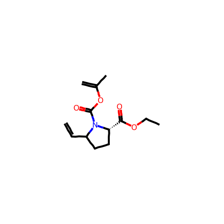 C=CC1CC[C@@H](C(=O)OCC)N1C(=O)OC(=C)C